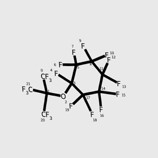 FC(F)(F)C(OC1(F)C(F)(F)C(F)(F)C(F)(F)C(F)(F)C1(F)F)(C(F)(F)F)C(F)(F)F